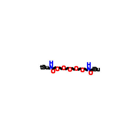 CCC(C)C(=O)NCCOCCOCCOCCOCCOCC(=O)NCC(C)(C)C